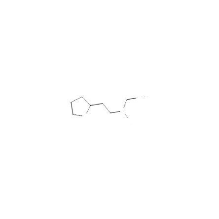 CCN(CCC1CCCO1)COC